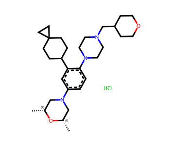 C[C@@H]1CN(c2ccc(N3CCN(CC4CCOCC4)CC3)c(C3CCC4(CC3)CC4)c2)C[C@H](C)O1.Cl